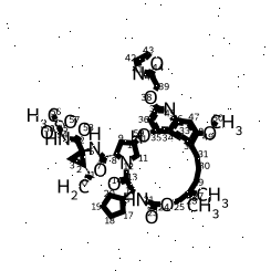 C=C[C@@H]1C[C@]1(NC(=O)[C@@H]1C[C@@H]2CN1C(=O)[C@H](C1CCCC1)NC(=O)OCC(C)(C)CCCc1cc3c(cc(OCc4ncco4)nc3cc1OC)O2)C(=O)NS(C)(=O)=O